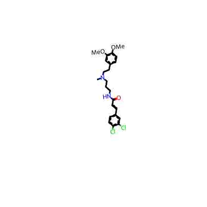 COc1ccc(CCN(C)CCCNC(=O)/C=C/c2ccc(Cl)c(Cl)c2)cc1OC